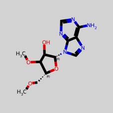 COC[C@H]1O[C@@H](n2cnc3c(N)ncnc32)C(O)C1OC